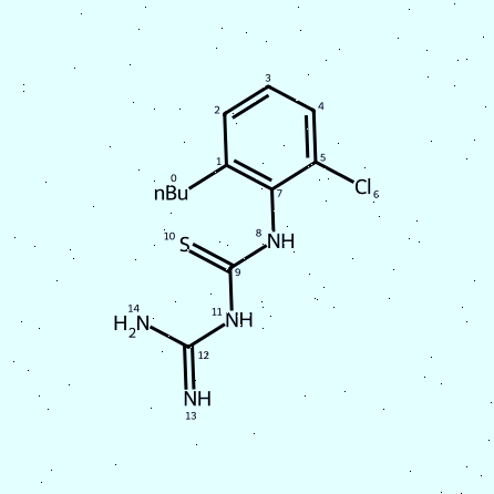 CCCCc1cccc(Cl)c1NC(=S)NC(=N)N